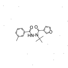 Cc1cccc(C(=O)NN(C(=O)c2ccoc2)C(C)(C)C)c1